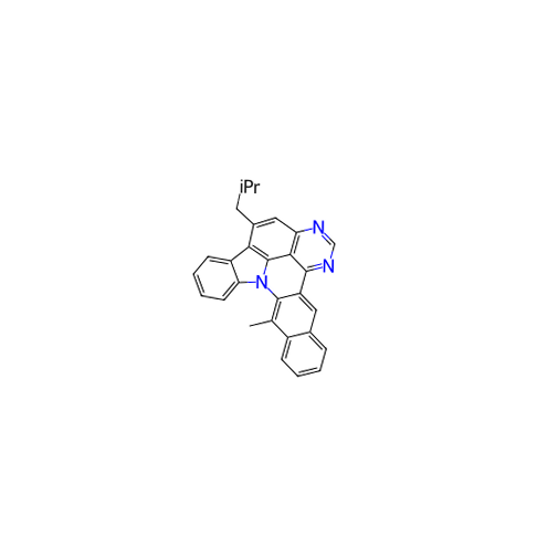 Cc1c2ccccc2cc2c3ncnc4cc(CC(C)C)c5c6ccccc6n(c12)c5c43